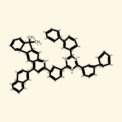 CC1(C)c2ccccc2-c2cc3c(-c4ccc5ccccc5c4)cc(-c4cccc(-c5nc(-c6cccc(-c7ccccc7)c6)nc(-c6cccc(-c7ccccc7)c6)n5)c4)nc3cc21